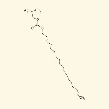 CCCCCCCCCCCCCCCCCCOC(=O)OCC(C)C